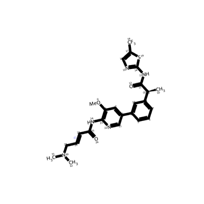 COc1cc(-c2cccc([C@H](C)C(=O)Nc3ncc(C(F)(F)F)s3)c2)cnc1NC(=O)/C=C/CN(C)C